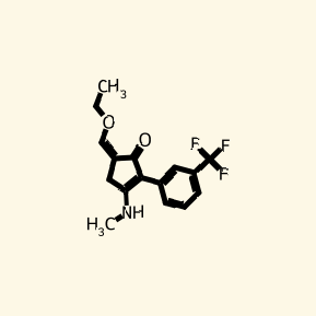 CCO/C=C1/CC(NC)=C(c2cccc(C(F)(F)F)c2)C1=O